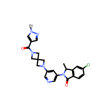 CCn1cc(C(=O)N2CC3(C2)CN(c2cncc(N4C(=O)c5ccc(Cl)cc5C4C)c2)C3)cn1